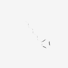 O=S(=O)(O)[CH]CCCCCc1ccccc1